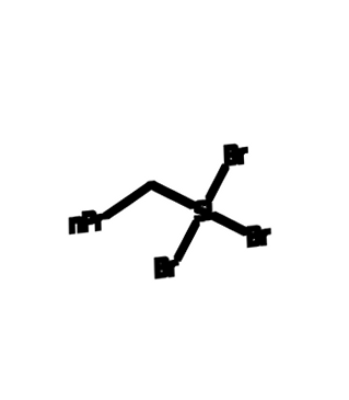 CCCC[Si](Br)(Br)Br